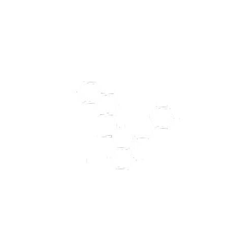 Cl.O=C(Nc1ccc2ccccc2c1)c1cccnc1NCc1ccncc1